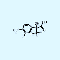 Cc1ccc(C(O)(C(=O)O)C(F)(F)F)cc1Cl